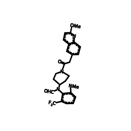 CNc1cccc(C(F)(F)F)c1N(C=O)C1CCN(C(=O)Cc2ccc3nc(OC)ccc3c2)CC1